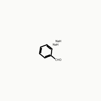 O=Cc1ccccc1.[NaH].[NaH]